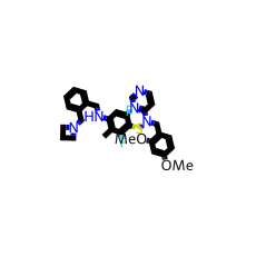 COc1ccc(CN(Sc2c(F)cc(NCc3ccccc3CN3CCC3)c(C)c2F)c2ccncn2)c(OC)c1